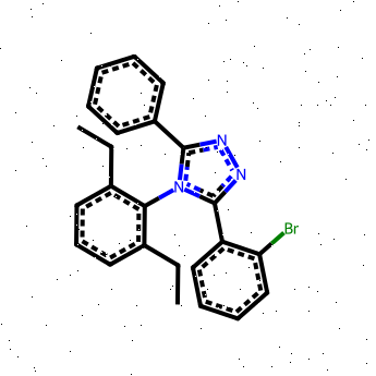 CCc1cccc(CC)c1-n1c(-c2ccccc2)nnc1-c1ccccc1Br